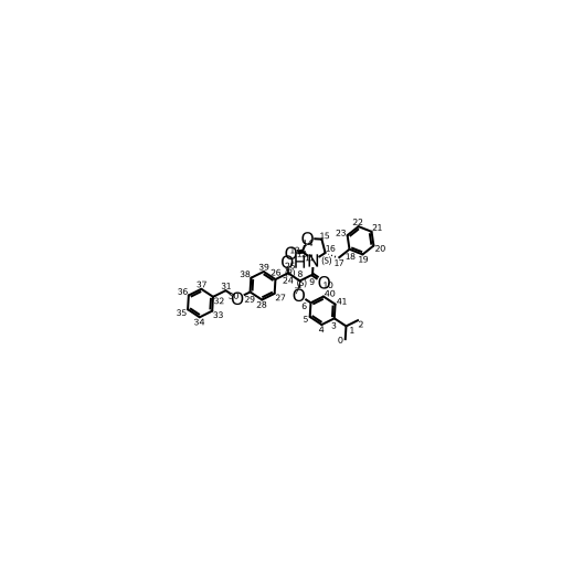 CC(C)c1ccc(O[C@H](C(=O)N2C(=O)OC[C@@H]2Cc2ccccc2)[C@H](O)c2ccc(OCc3ccccc3)cc2)cc1